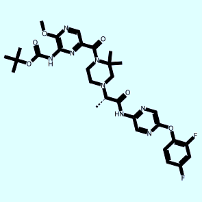 COc1ncc(C(=O)N2CCN([C@@H](C)C(=O)Nc3cnc(Oc4ccc(F)cc4F)cn3)CC2(C)C)nc1NC(=O)OC(C)(C)C